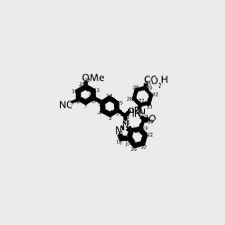 CCCCC(c1ccc(-c2cc(C#N)cc(OC)c2)cc1)n1ncc2cccc(C(=O)NC3CCC(C(=O)O)CC3)c21